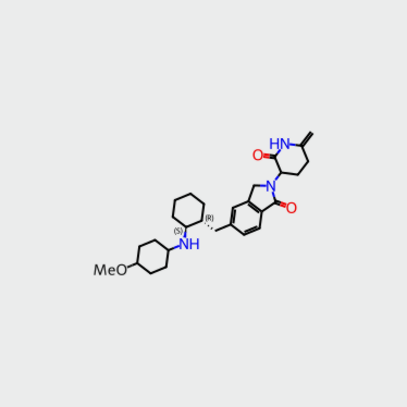 C=C1CCC(N2Cc3cc(C[C@H]4CCCC[C@@H]4NC4CCC(OC)CC4)ccc3C2=O)C(=O)N1